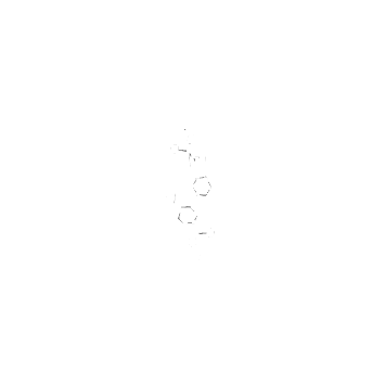 CCOC(=O)c1ccc(Cl)c(-c2cccc(CNC(=O)OC(C)(C)C)c2)c1